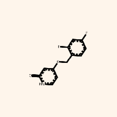 O=c1cc(OCc2ccc(F)cc2F)cc[nH]1